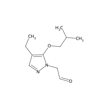 CCc1cnn(CC=O)c1OCC(C)C